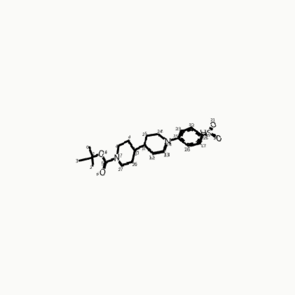 CC(C)(C)OC(=O)N1CCC(C2CCN(c3ccc([SH](=O)=O)cc3)CC2)CC1